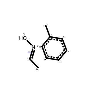 C/C=N/O.Cc1ccccc1